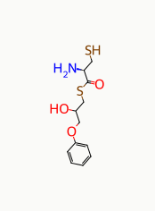 N[C@@H](CS)C(=O)SCC(O)COc1ccccc1